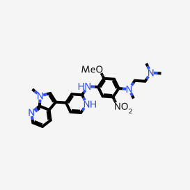 COc1cc(N(C)CCN(C)C)c([N+](=O)[O-])cc1NC1C=C(c2cn(C)c3ncccc23)C=CN1